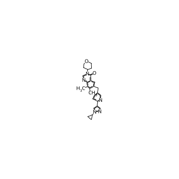 Cc1c(Cc2ccc(-c3cnn(C4CC4)c3)nc2)cc2c(=O)n(C3CCOCC3)cnc2c1C